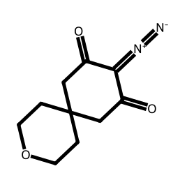 [N-]=[N+]=C1C(=O)CC2(CCOCC2)CC1=O